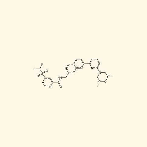 C[C@@H]1CN(c2cccc(-c3ccc4cnc(CNC(=O)c5cc(S(=O)(=O)C(F)F)ccn5)cc4n3)n2)C[C@H](C)O1